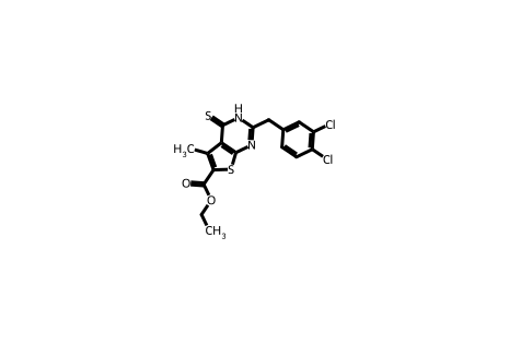 CCOC(=O)c1sc2nc(Cc3ccc(Cl)c(Cl)c3)[nH]c(=S)c2c1C